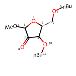 CCCCOC[C@H]1OC(OC)C(=O)C1OCCCC